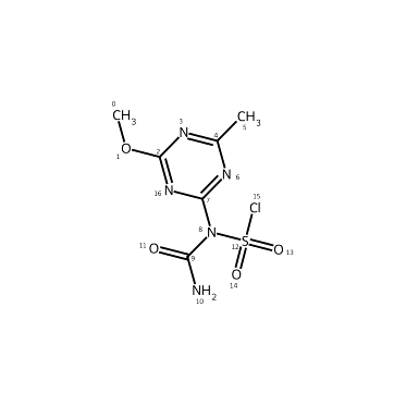 COc1nc(C)nc(N(C(N)=O)S(=O)(=O)Cl)n1